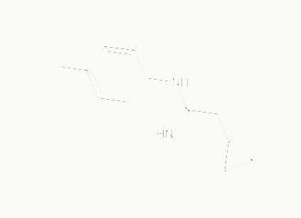 N=C(CC1CC1)Nc1ccc(Cl)cc1